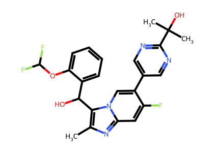 Cc1nc2cc(F)c(-c3cnc(C(C)(C)O)nc3)cn2c1C(O)c1ccccc1OC(F)F